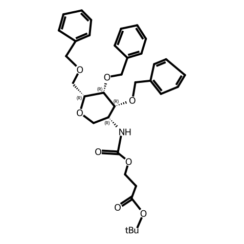 CC(C)(C)OC(=O)CCOC(=O)N[C@@H]1CO[C@H](COCc2ccccc2)[C@H](OCc2ccccc2)[C@@H]1OCc1ccccc1